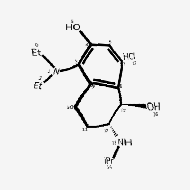 CCN(CC)c1c(O)ccc2c1CC[C@@H](NC(C)C)[C@@H]2O.Cl